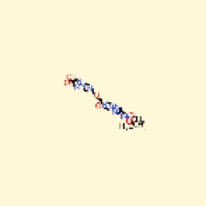 CC(C)(C)OC(=O)NCc1cnc(N2CCN(C(=O)CCOCCN3CCN(c4ncc(C(=O)O)cn4)CC3)CC2)nc1